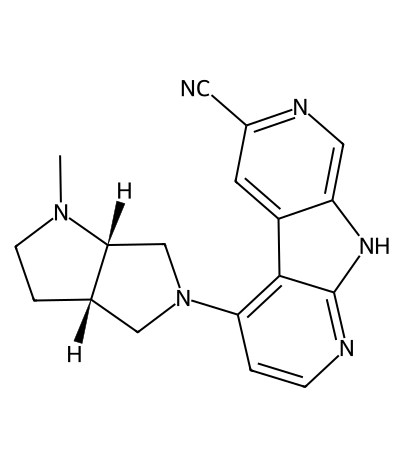 CN1CC[C@H]2CN(c3ccnc4[nH]c5cnc(C#N)cc5c34)C[C@H]21